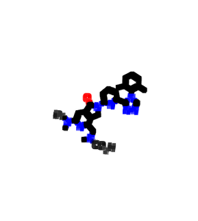 Cc1cccc(C)c1-n1cnnc1-c1cccc(N2Cc3c(cc(N(C)C(C)C)nc3CN(C)C(=O)O)C2=O)n1